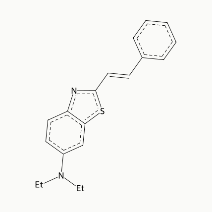 CCN(CC)c1ccc2nc(C=Cc3ccccc3)sc2c1